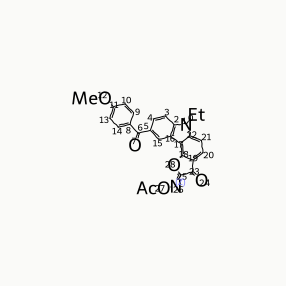 CCn1c2ccc(C(=O)c3ccc(OC)cc3)cc2c2c3c(ccc21)C(=O)/C(=N/OC(C)=O)O3